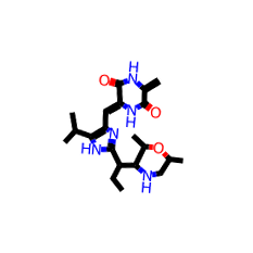 C=c1[nH]c(=O)c(=Cc2nc(C(CC)C3NCC(C)OC3C)[nH]c2C(C)C)[nH]c1=O